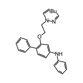 C=CN(CCOc1cc(Nc2ccccc2)ccc1-c1ccccc1)/N=C\C(C)CC